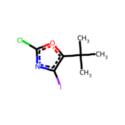 CC(C)(C)c1oc(Cl)nc1I